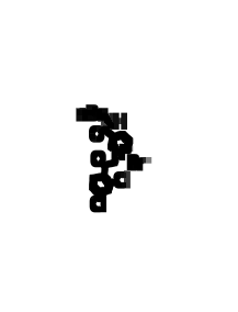 CCCCNC(=O)c1ccc[n+](CC(=O)c2ccc(Cl)cc2Cl)c1.[Br-]